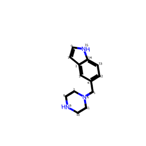 c1cc2cc(CN3CCNCC3)ccc2[nH]1